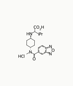 CC(C)C(N[C@H]1CC[C@H](N(C)C(=O)c2ccc3nonc3c2)CC1)C(=O)O.Cl